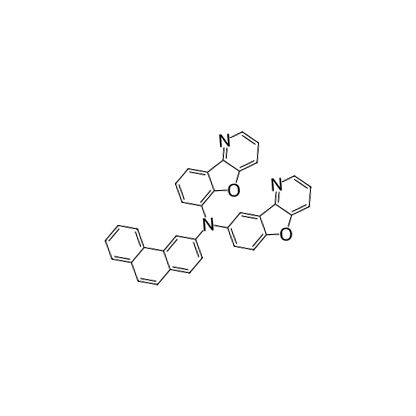 c1ccc2c(c1)ccc1ccc(N(c3ccc4oc5cccnc5c4c3)c3cccc4c3oc3cccnc34)cc12